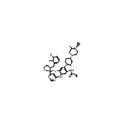 C=CC(=O)Nc1cc(Nc2cc(N3OCCC3Cc3cccc(F)c3C)ncn2)c(OC)cc1N1CCC(N2CCN(C3CC3)C(C)C2)CC1